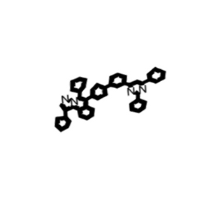 c1ccc(-c2cc(-c3cccc(-c4ccc(-c5c(-c6ccccc6)n6ncc(-c7ccccc7)c6c6ccccc56)cc4)c3)nc(-c3ccccc3)n2)cc1